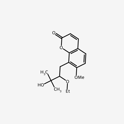 CCOC(Cc1c(OC)ccc2ccc(=O)oc12)C(C)(C)O